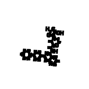 C[C@@H](O)C(=O)N1CCO[C@H](CNc2nc(-c3ccc(N4CCOCC4)cc3)cc3nccnc23)C1